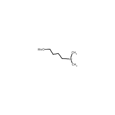 COCCC[CH2][Al]([CH3])[CH3]